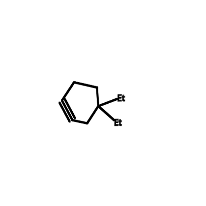 CCC1(CC)CC#CCC1